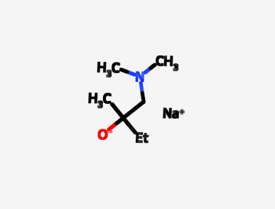 CCC(C)([O-])CN(C)C.[Na+]